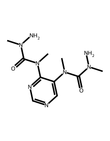 CN(N)C(=O)N(C)c1cncnc1N(C)C(=O)N(C)N